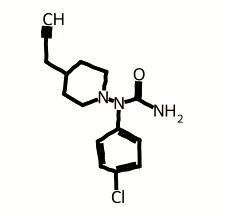 C#CCC1CCN(N(C(N)=O)c2ccc(Cl)cc2)CC1